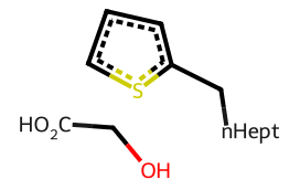 CCCCCCCCc1cccs1.O=C(O)CO